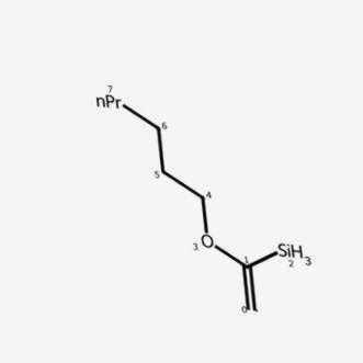 [CH]=C([SiH3])OCCCCCC